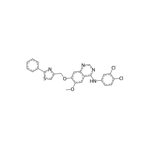 COc1cc2c(Nc3ccc(Cl)c(Cl)c3)ncnc2cc1OCc1csc(-c2ccccc2)n1